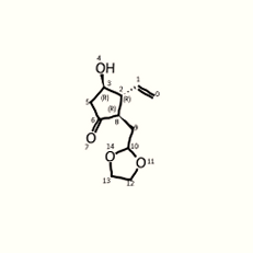 C=C[C@H]1[C@H](O)CC(=O)[C@@H]1CC1OCCO1